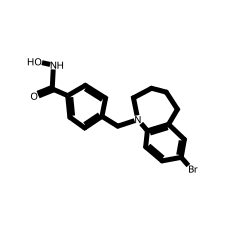 O=C(NO)c1ccc(CN2CCCCc3cc(Br)ccc32)cc1